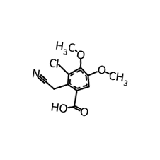 COc1cc(C(=O)O)c(CC#N)c(Cl)c1OC